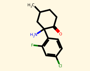 CC1CCC(=O)C(N)(c2ccc(Cl)cc2F)C1